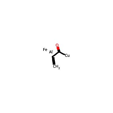 C=C[C](=O)[Cu].[Al].[Fe]